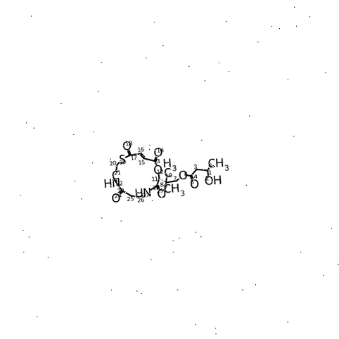 C[C@@H](O)CC(=O)OCC(C)(C)[C@H]1OC(=O)/C=C/C(=O)SCCNC(=O)CCNC1=O